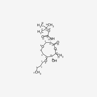 CCCCO[C@H]1CCOC[C@H](NC(=O)OC(C)(C)C)C(=O)O[C@@H](C)[C@@H]1O